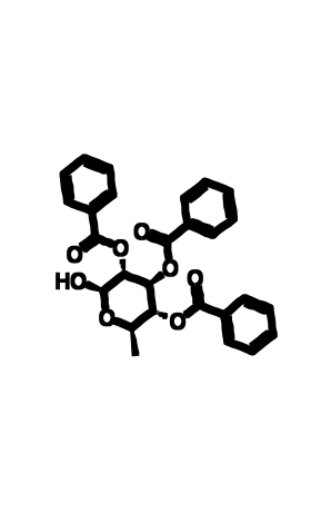 C[C@H]1O[C@@H](O)[C@H](OC(=O)c2ccccc2)[C@@H](OC(=O)c2ccccc2)[C@@H]1OC(=O)c1ccccc1